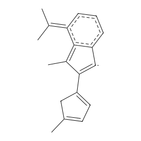 CC1=CC=C(C2=[C]c3cccc(=C(C)C)c3=C2C)C1